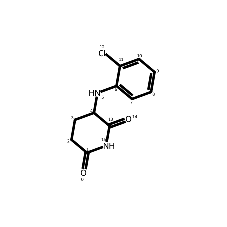 O=C1CCC(Nc2ccccc2Cl)C(=O)N1